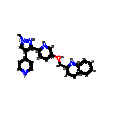 Cn1cc(-c2ccncc2)c(-c2ccc(OCc3ccc4ccccc4n3)cn2)n1